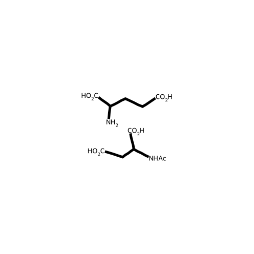 CC(=O)NC(CC(=O)O)C(=O)O.NC(CCC(=O)O)C(=O)O